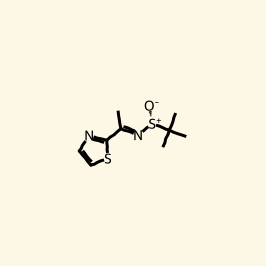 C/C(=N\[S@+]([O-])C(C)(C)C)c1nccs1